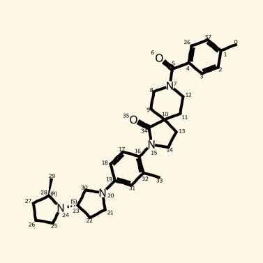 Cc1ccc(C(=O)N2CCC3(CC2)CCN(c2ccc(N4CC[C@H](N5CCC[C@H]5C)C4)cc2C)C3=O)cc1